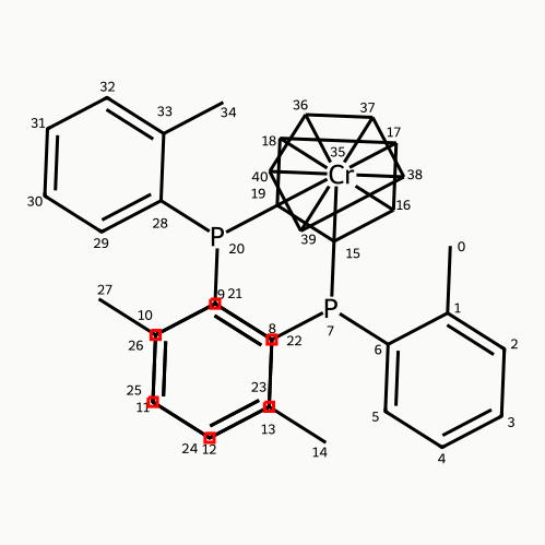 Cc1ccccc1P(c1ccccc1C)[C]12[CH]3[CH]4[CH]5[C]1(P(c1ccccc1C)c1ccccc1C)[Cr]43521678[CH]2[CH]1[CH]6[CH]7[CH]28